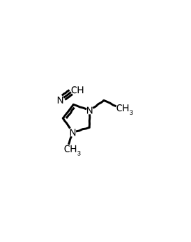 C#N.CCN1C=CN(C)C1